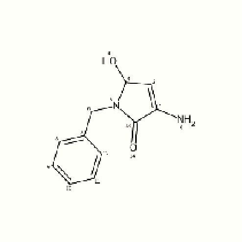 NC1=CC(O)N(Cc2ccccc2)C1=O